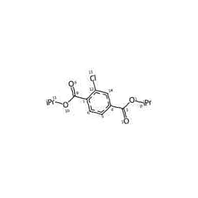 CC(C)OC(=O)c1ccc(C(=O)OC(C)C)c(Cl)c1